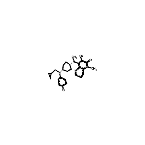 Cn1c(=O)c(C#N)c(N(C)[C@H]2CC[C@@H](N(CC3CC3)c3ccc(Cl)cc3)CC2)c2ncccc21